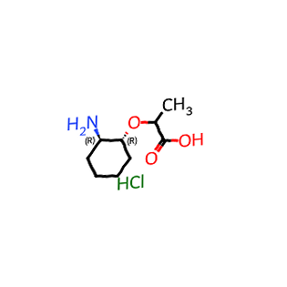 CC(O[C@@H]1CCCC[C@H]1N)C(=O)O.Cl